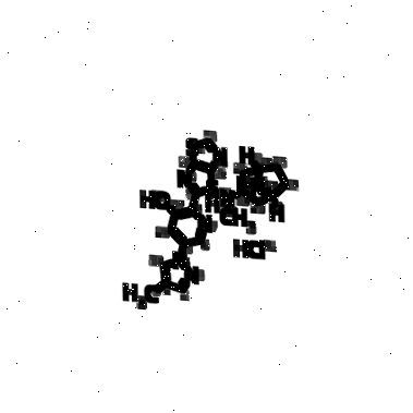 Cc1cnn(-c2cnc(C3=Nc4scnc4[SH]3N(C)[C@@H]3C[C@H]4CC[C@@H](C3)N4)c(O)c2)c1.Cl